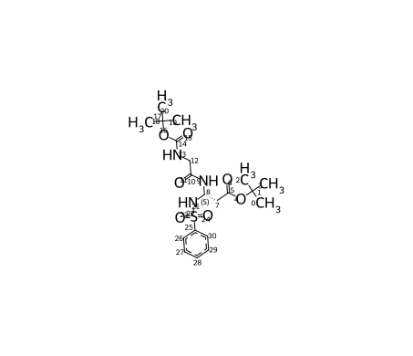 CC(C)(C)OC(=O)C[C@@H](NC(=O)CNC(=O)OC(C)(C)C)NS(=O)(=O)c1ccccc1